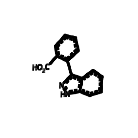 O=C(O)c1ccccc1-c1n[nH]c2ccccc12